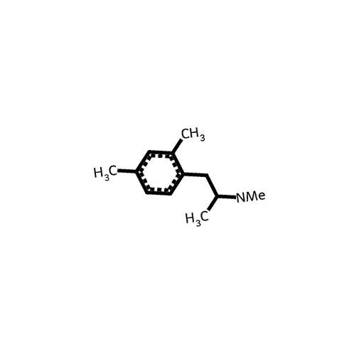 CNC(C)Cc1ccc(C)cc1C